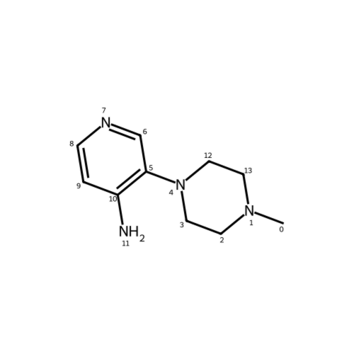 CN1CCN(c2cnccc2N)CC1